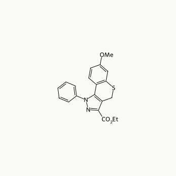 CCOC(=O)c1nn(-c2ccccc2)c2c1CSc1cc(OC)ccc1-2